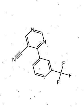 N#Cc1cncnc1-c1cc[c]c(C(F)(F)F)c1